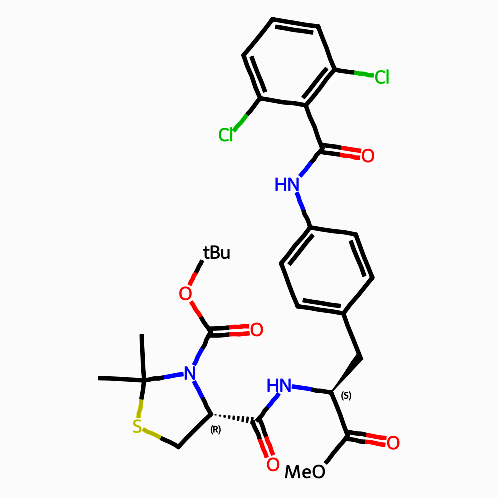 COC(=O)[C@H](Cc1ccc(NC(=O)c2c(Cl)cccc2Cl)cc1)NC(=O)[C@@H]1CSC(C)(C)N1C(=O)OC(C)(C)C